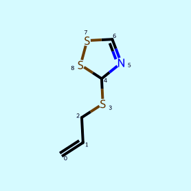 C=CCSC1N=CSS1